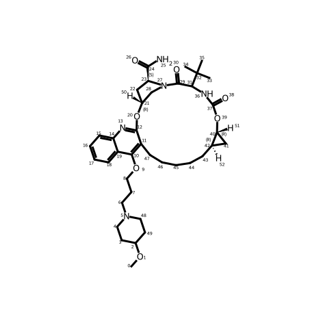 COC1CCN(CCCOc2c3c(nc4ccccc24)O[C@@H]2C[C@@H](C(N)=O)N(C2)C(=O)C(C(C)(C)C)NC(=O)O[C@@H]2C[C@H]2CCCCC3)CC1